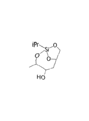 CC1O[Si]2(C(C)C)OCC(CC1O)O2